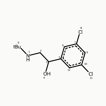 CC(C)(C)NCC(O)c1cc(Cl)[c]c(Cl)c1